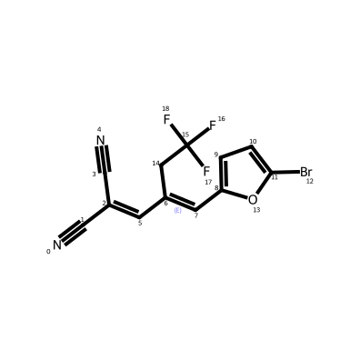 N#CC(C#N)=C/C(=C/c1ccc(Br)o1)CC(F)(F)F